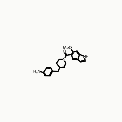 COc1cc2[nH]ccc2cc1C(=O)N1CCC(Cc2ccc(N)cc2)CC1